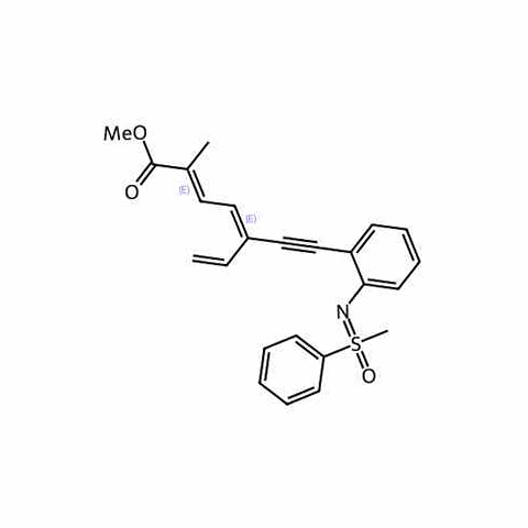 C=C/C(C#Cc1ccccc1N=S(C)(=O)c1ccccc1)=C\C=C(/C)C(=O)OC